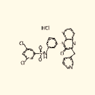 Cl.O=c1c(Cc2cccnc2)nc2cccnc2n1-c1cccc(NS(=O)(=O)c2cc(Cl)cc(Cl)c2)c1